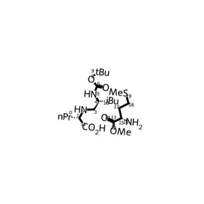 CCC[C@H](NC[C@@H](NC(=O)OC(C)(C)C)[C@@H](C)CC)C(=O)O.COC(=O)[C@@H](N)CCSC